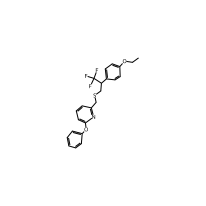 CCOc1ccc(C(CSCc2cccc(Oc3ccccc3)n2)C(F)(F)F)cc1